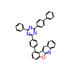 c1ccc(-c2ccc(-c3nc(-c4ccccc4)nc(-c4ccc(-c5cccc6oc7nc8ccccc8cc7c56)cc4)n3)cc2)cc1